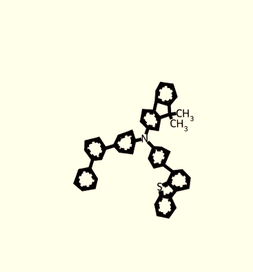 CC1(C)c2ccccc2-c2ccc(N(c3ccc(-c4cccc(-c5ccccc5)c4)cc3)c3ccc(-c4cccc5c4sc4ccccc45)cc3)cc21